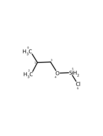 CC(C)CO[SiH2]Cl